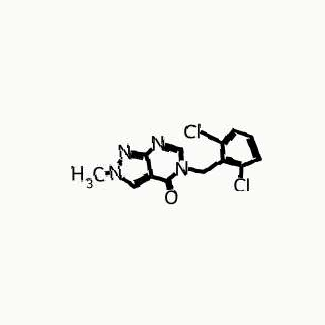 Cn1cc2c(=O)n(Cc3c(Cl)cccc3Cl)cnc2n1